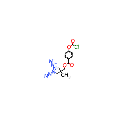 CC(CN=[N+]=[N-])(CN=[N+]=[N-])COC(=O)c1ccc(OC(=O)Cl)cc1